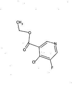 CCOC(=O)c1cncc(F)c1Cl